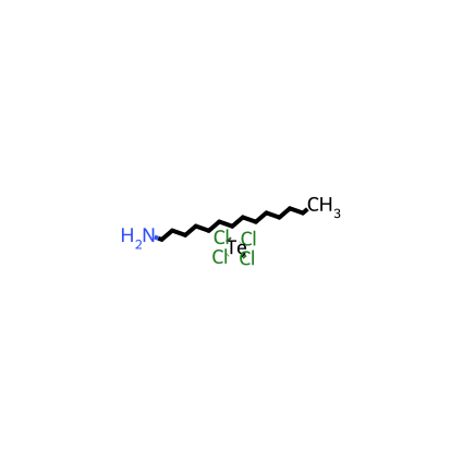 CCCCCCCCCCCCCCN.Cl[Te](Cl)(Cl)Cl